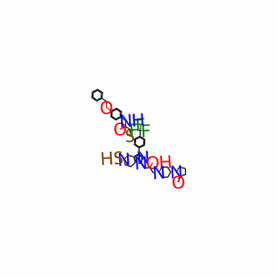 O=C(CSc1cc(-c2nn(CC(O)CN3CCC(N4CCCC4=O)CC3)c3c2CN(S)CC3)ccc1C(F)(F)F)Nc1ccc(OCc2ccccc2)cc1